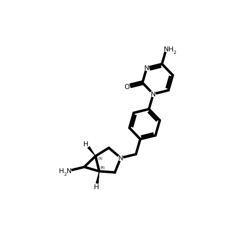 Nc1ccn(-c2ccc(CN3C[C@@H]4C(N)[C@@H]4C3)cc2)c(=O)n1